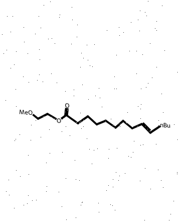 CCCC/C=C/CCCCCCCC(=O)OCCOC